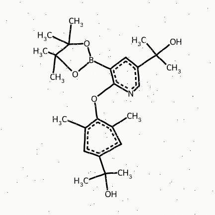 Cc1cc(C(C)(C)O)cc(C)c1Oc1ncc(C(C)(C)O)cc1B1OC(C)(C)C(C)(C)O1